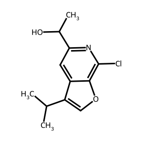 CC(C)c1coc2c(Cl)nc(C(C)O)cc12